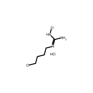 Cl.NC(=NCCCCCl)NCl